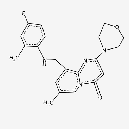 Cc1cc(CNc2ccc(F)cc2C)c2nc(N3CCOCC3)cc(=O)n2c1